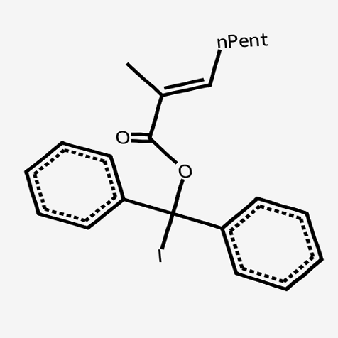 CCCCCC=C(C)C(=O)OC(I)(c1ccccc1)c1ccccc1